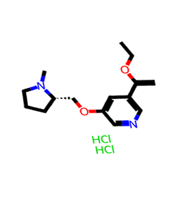 C=C(OCC)c1cncc(OC[C@@H]2CCCN2C)c1.Cl.Cl